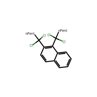 CCCCCC(Cl)(Cl)c1ccc2ccccc2c1C(Cl)(Cl)CCCCC